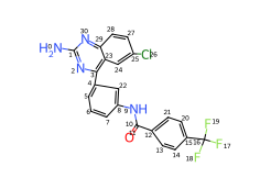 Nc1nc(-c2cccc(NC(=O)c3ccc(C(F)(F)F)cc3)c2)c2cc(Cl)ccc2n1